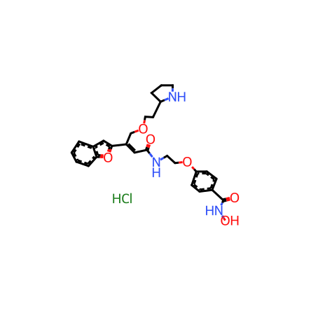 Cl.O=C(C=C(COCCC1CCCN1)c1cc2ccccc2o1)NCCOc1ccc(C(=O)NO)cc1